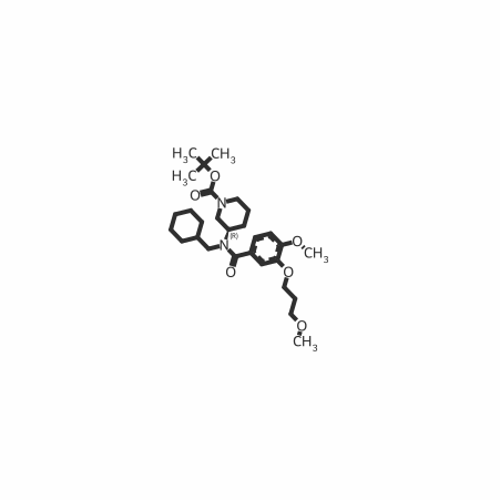 COCCCOc1cc(C(=O)N(CC2CCCCC2)[C@@H]2CCCN(C(=O)OC(C)(C)C)C2)ccc1OC